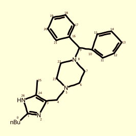 CCCCc1nc(CN2CCN(C(c3ccccc3)c3ccccc3)CC2)c(C)[nH]1